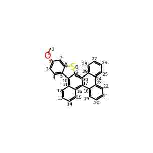 COc1ccc2c(c1)sc1c2c2ccccc2c2c3ccccc3c3ccccc3c12